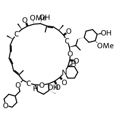 CO[C@@H]1C[C@H](CC(C)[C@@H]2CC(=O)[C@H](C)/C=C(\C)[C@@H](O)[C@@H](OC)C(=O)[C@H](C)C[C@H](C)/C=C/C=C/C=C(\C)[C@H](OCC3CCOCC3)C[C@@H]3CC[C@@H](C)[C@@](O)(O3)C(=O)C(=O)N3CCCC[C@H]3C(=O)O2)CC[C@H]1O